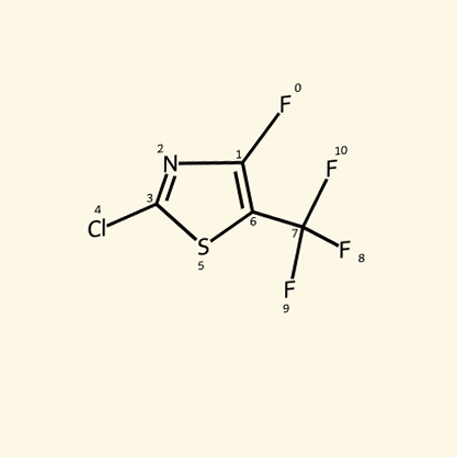 Fc1nc(Cl)sc1C(F)(F)F